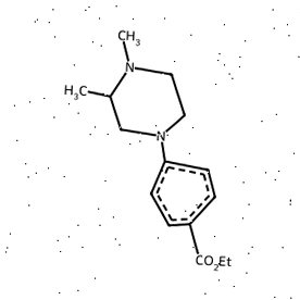 CCOC(=O)c1ccc(N2CCN(C)C(C)C2)cc1